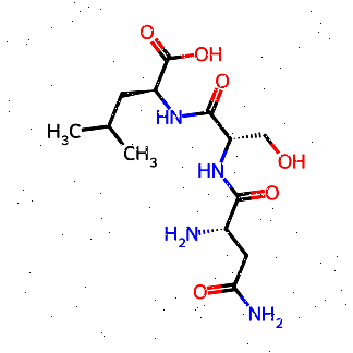 CC(C)C[C@H](NC(=O)[C@H](CO)NC(=O)[C@@H](N)CC(N)=O)C(=O)O